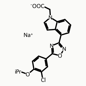 CC(C)Oc1ccc(-c2nc(-c3cccc4c3ccn4CC(=O)[O-])no2)cc1Cl.[Na+]